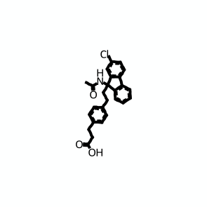 CC(=O)NC1(CCc2ccc(CCC(=O)O)cc2)c2ccccc2-c2ccc(Cl)cc21